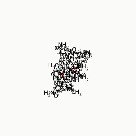 CCc1nc(C)sc1C(=O)Nc1nc2cc(C(N)=O)cc(OCCCN3CCOCC3)c2n1C/C=C/Cn1c(NC(=O)c2cc(C)nn2CCOC(N)c2cc(OCCCN3CCOCC3)c3c(c2)nc(NC(=O)c2cc(C)nn2CC)n3C/C=C/Cn2c(NC(=O)c3cc(C)nn3CC)nc3cc(C(N)=O)cc(SC)c32)nc2cc(C(N)=O)cc(OC)c21